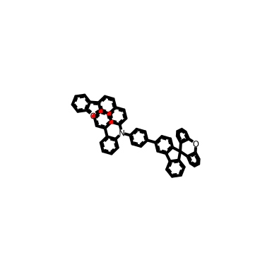 c1ccc(-c2ccccc2N(c2ccc(-c3ccc4c(c3)-c3ccccc3C43c4ccccc4Oc4ccccc43)cc2)c2ccc3ccc4c5ccccc5oc4c3c2)cc1